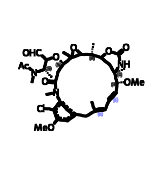 COc1cc2cc(c1Cl)N(C)C(=O)C[C@H](OC(C=O)[C@H](C)N(C)C(C)=O)C1(C)OC1[C@H](C)C1C[C@@](C)(NC(=O)O1)[C@H](OC)/C=C/C=C(\C)C2